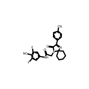 N#Cc1ccc(C2=NC3(CCCCC3)N(CC(=O)Nc3cc(F)c(C#N)c(F)c3)C2=O)cc1